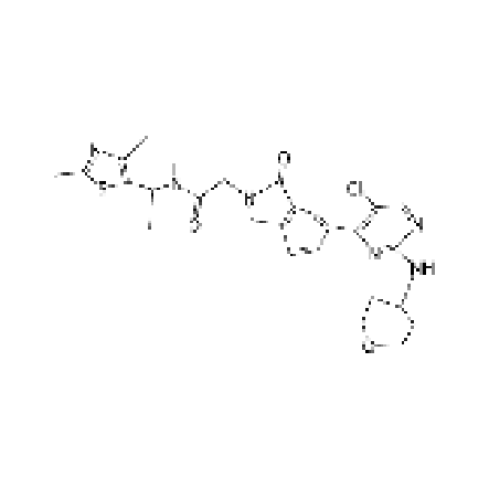 Cc1nc(C)c(C(C)NC(=O)CN2Cc3ccc(-c4nc(NC5CCOCC5)ncc4Cl)cc3C2=O)s1